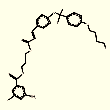 Nc1cc(N)cc(C(=O)OCCCOC(=O)/C=C/c2ccc(OC(F)(F)c3ccc(OCCCCF)cc3)cc2)c1